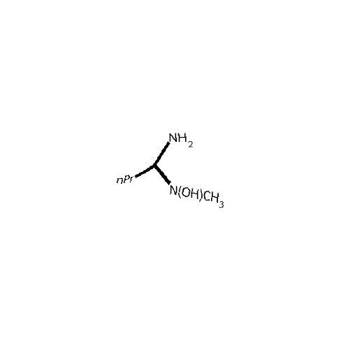 CCCC(N)N(C)O